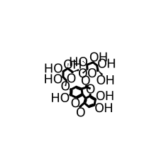 O=c1oc2c(O)c(O[C@@H]3O[C@H](CO[C@@H]4O[C@H](CO)[C@@H](O)[C@H](O)[C@H]4O)[C@@H](O)[C@H](O)[C@H]3O)cc3c(=O)oc4c(O)c(O)cc1c4c23